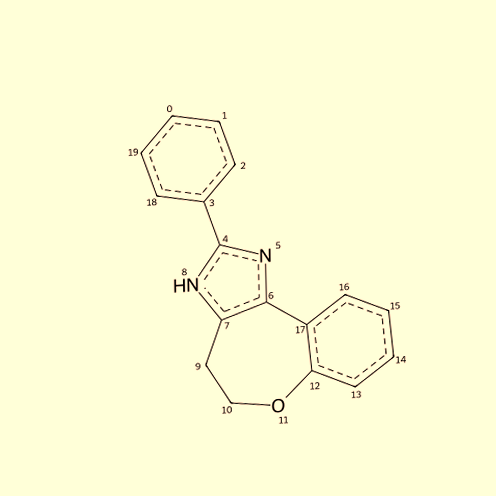 c1ccc(-c2nc3c([nH]2)CCOc2ccccc2-3)cc1